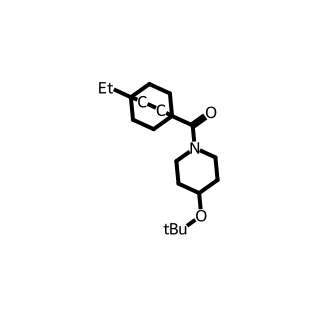 CCC12CCC(C(=O)N3CCC(OC(C)(C)C)CC3)(CC1)CC2